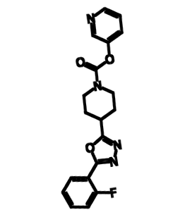 O=C(Oc1cccnc1)N1CCC(c2nnc(-c3ccccc3F)o2)CC1